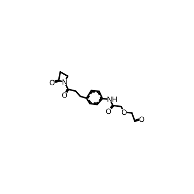 O=CCOCC(=O)Nc1ccc(CCC(=O)N2CCC2=O)cc1